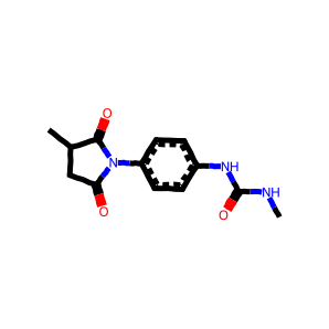 CNC(=O)Nc1ccc(N2C(=O)CC(C)C2=O)cc1